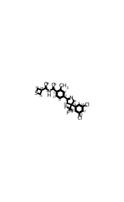 Cc1cc(C2=NCC(c3cc(Cl)cc(Cl)c3)(C(F)(F)F)C2)ccc1C(=O)NC(=O)C1CSC1